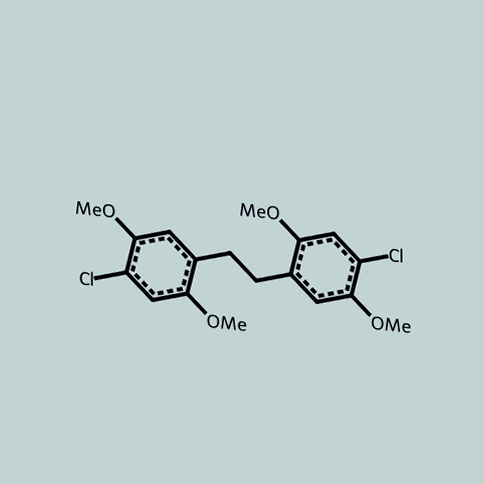 COc1cc(CCc2cc(OC)c(Cl)cc2OC)c(OC)cc1Cl